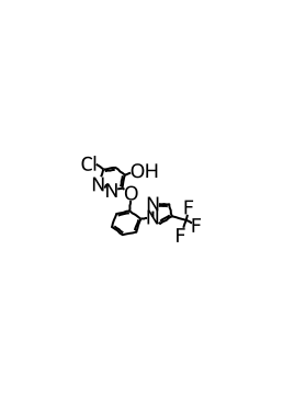 Oc1cc(Cl)nnc1Oc1ccccc1-n1cc(C(F)(F)F)cn1